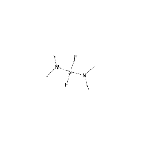 CN(C)[Si](F)(F)N(C)C